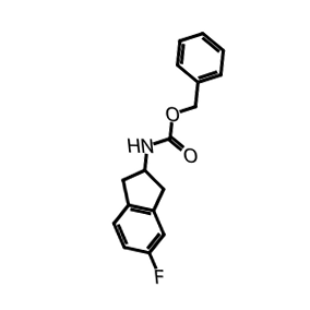 O=C(NC1Cc2ccc(F)cc2C1)OCc1ccccc1